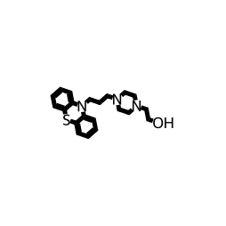 OCCN1CCN(CCCN2c3ccccc3Sc3ccccc32)CC1